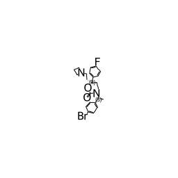 C[C@@H](c1ccc(Br)cc1)N1CC[C@](CCN2CCC2)(c2ccc(F)cc2)OC1=O